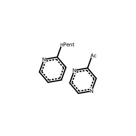 CC(=O)c1cnccn1.CCCCCc1ccccn1